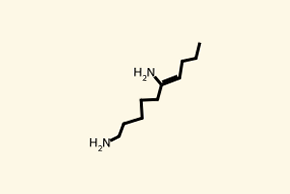 CCCC=C(N)CCCCCN